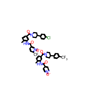 Cc1ccc(C(=O)N2CCC(c3ccc(C(F)(F)F)cc3)CC2)cc1NC(=O)c1cc[n+]([O-])cc1.Cc1ccc(C(=O)N2CCC(c3ccc(Cl)cc3)CC2)cc1NC(=O)c1ccc(C(F)(F)F)[n+]([O-])c1